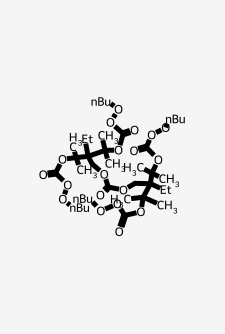 CCCCOOC(=O)OC(C)(C)C(CC)(COC(=O)OCC(CC)(C(C)(C)OC(=O)OOCCCC)C(C)(C)OC(=O)OOCCCC)C(C)(C)OC(=O)OOCCCC